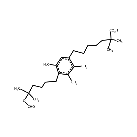 Cc1cc(CCCCCC(C)(C)C(=O)O)c(C)c(C)c1CCCCC(C)(C)OC=O